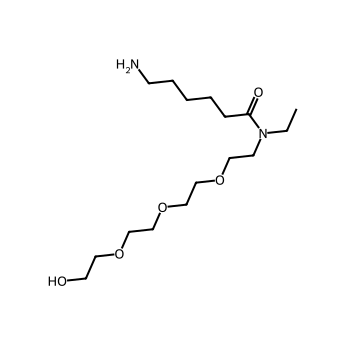 CCN(CCOCCOCCOCCO)C(=O)CCCCCN